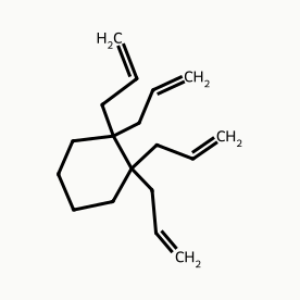 C=CCC1(CC=C)CCCCC1(CC=C)CC=C